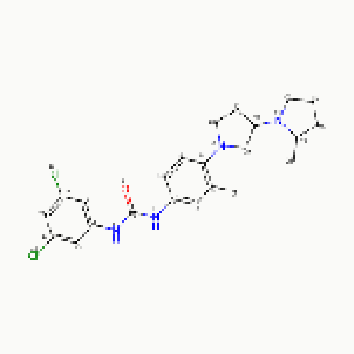 Cc1cc(NC(=O)Nc2cc(Cl)cc(Cl)c2)ccc1N1CCC(N2CCCC2C)C1